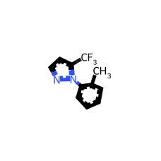 Cc1ccccc1-n1nccc1C(F)(F)F